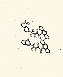 O=C(Nc1c2c(cc3c1CCC3C1CCc3cc4c(c(NC(=O)NS(=O)(=O)c5ccc6c(c5)S(=O)(=O)CC6)c31)CCC4)CCC2)NS(=O)(=O)c1cnc2c(c1)CCC2